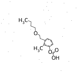 CCCCOCCc1cccc(OC(=O)O)c1C